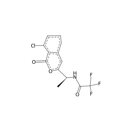 C[C@H](NC(=O)C(F)(F)F)c1cc2cccc(Cl)c2c(=O)o1